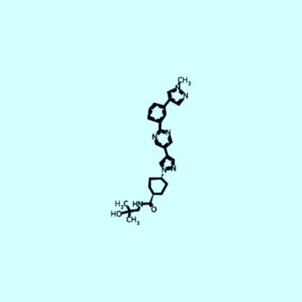 Cn1cc(-c2cccc(-c3ncc(-c4cnn([C@H]5CC[C@H](C(=O)NCC(C)(C)O)CC5)c4)cn3)c2)cn1